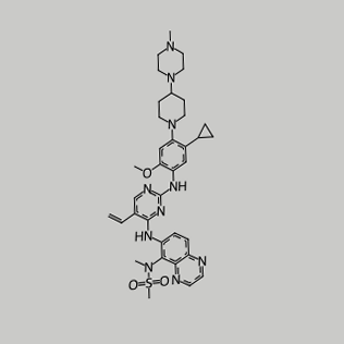 C=Cc1cnc(Nc2cc(C3CC3)c(N3CCC(N4CCN(C)CC4)CC3)cc2OC)nc1Nc1ccc2nccnc2c1N(C)S(C)(=O)=O